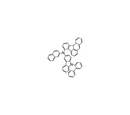 C1=CC2=Cc3cccc4c3C(c3cccc(N(c5ccc6ccccc6c5)c5ccc6c(c5)c5ccccc5n6-c5ccccc5-c5ccccc5)c3-4)C2C=C1